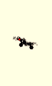 CCCCC1(CCCC)CN(c2ccccc2)c2cc(Br)c(OCC(=O)N[C@H](C(=O)OC)c3ccccc3)cc2S(=O)(=O)C1